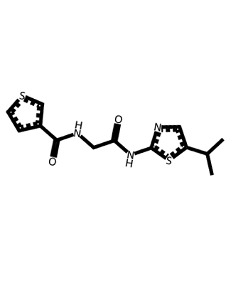 CC(C)c1cnc(NC(=O)CNC(=O)c2ccsc2)s1